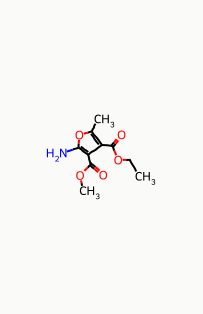 CCOC(=O)c1c(C)oc(N)c1C(=O)OC